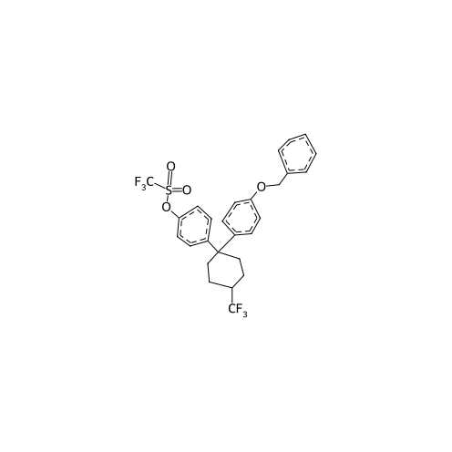 O=S(=O)(Oc1ccc(C2(c3ccc(OCc4ccccc4)cc3)CCC(C(F)(F)F)CC2)cc1)C(F)(F)F